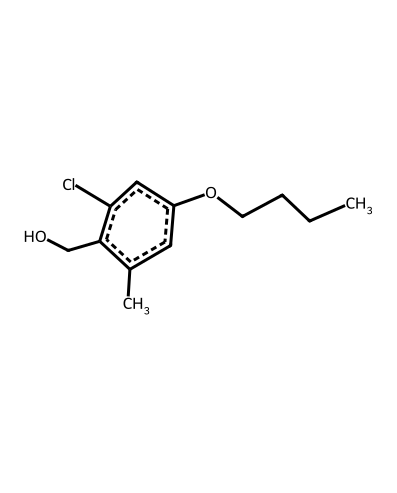 CCCCOc1cc(C)c(CO)c(Cl)c1